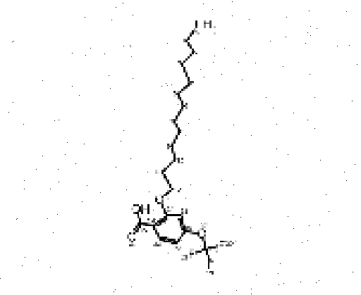 CCCCCCCCCCCCCOc1cc(OC(F)(F)F)ccc1C(=O)O